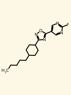 CCCCCC1CCC(c2noc(-c3cnc(F)nc3)n2)CC1